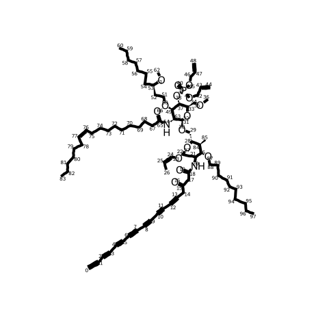 C#CC#CC#CC#CC#CC#CC#CCC(=O)CC(=O)NC1[C@@H](O/C=C\C)O[C@H](CO[C@@H]2O[C@H](COC)[C@@H](OP(=O)(OCC=C)OCC=C)[C@H](OCC[C@@H](CCCCCCC)OC)[C@H]2NC(=O)CCCCCCCCC/C=C\CCCCCC)[C@@H](C)[C@@H]1OCCCCCCCCCC